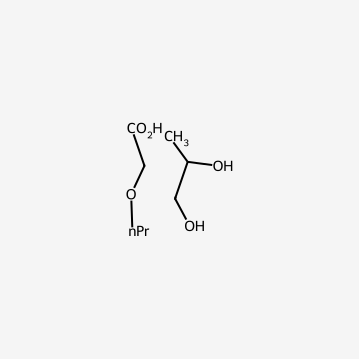 CC(O)CO.CCCOCC(=O)O